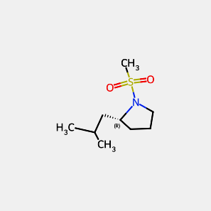 CC(C)C[C@H]1CCCN1S(C)(=O)=O